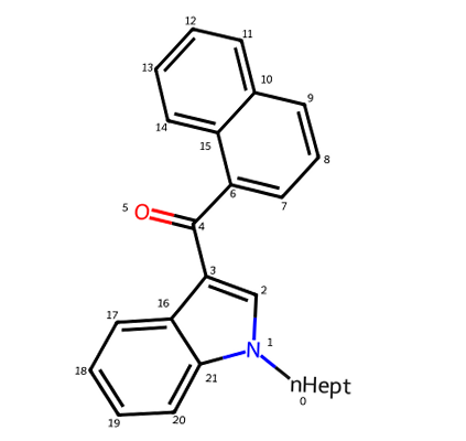 CCCCCCCn1cc(C(=O)c2cccc3ccccc23)c2ccccc21